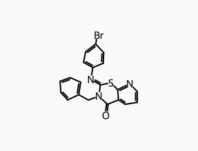 O=c1c2cccnc2sc(=Nc2ccc(Br)cc2)n1Cc1ccccc1